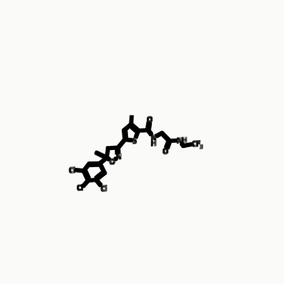 Cc1cc(C2=NOC(C)(c3cc(Cl)c(Cl)c(Cl)c3)C2)sc1C(=O)NCC(=O)NCC(F)(F)F